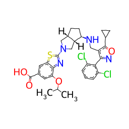 CC(C)Oc1cc(C(=O)O)cc2sc(N3C[C@@H]4CC[C@@H](NCc5c(-c6c(Cl)cccc6Cl)noc5C5CC5)[C@@H]4C3)nc12